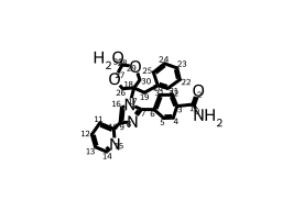 NC(=O)c1ccc(-c2nc(-c3ccccn3)cn2C2(Cc3ccccc3)COCOC2)cc1.O